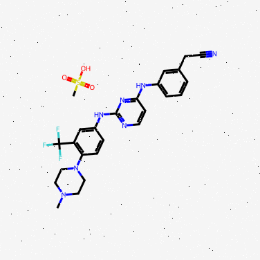 CN1CCN(c2ccc(Nc3nccc(Nc4cccc(CC#N)c4)n3)cc2C(F)(F)F)CC1.CS(=O)(=O)O